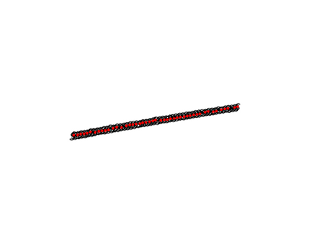 S=S=S=S=S=S=S=S=S=S=S=S=S=S=S=S=S=S=S=S=S=S=S=S=S=S=S=S=S=S=S=S=S=S=S=S=S=S=S=S=S=S=S=S=S=S=S=S=S=S=S=S=S=S=S=S=S=S=S=S=S=S=S=S=S=S=S=S=S=S=S=S=S=S=S=S=S=S=S=S=S=S=S=S=S=S=S=S=S=S=S=S=S=S=S=S=S=S=S=S=S=S